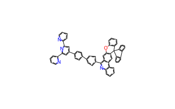 c1ccc(-c2cc(-c3ccc(-c4ccc(-c5nc6ccccc6c6cc7c(cc56)Oc5ccccc5C75c6ccccc6-c6ccccc65)cc4)cc3)cc(-c3ccccn3)n2)nc1